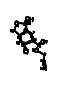 N#CCOC(=O)c1cc2c(cc1Cl)COB2O